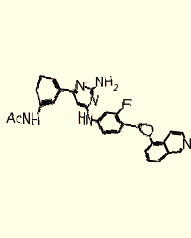 CC(=O)Nc1cccc(-c2cc(Nc3ccc(Oc4cccc5cnccc45)c(F)c3)nc(N)n2)c1